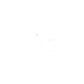 CN(c1ccccc1)c1ccccc1S(=O)(=O)O